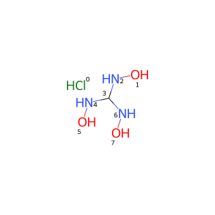 Cl.ONC(NO)NO